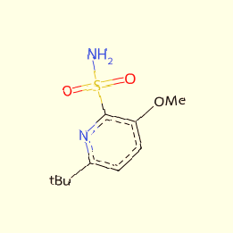 COc1ccc(C(C)(C)C)nc1S(N)(=O)=O